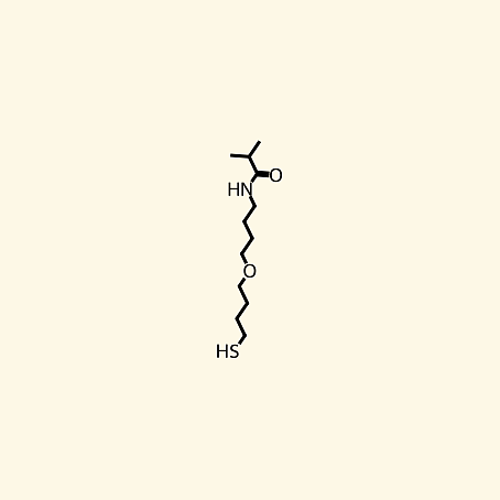 CC(C)C(=O)NCCCCOCCCCS